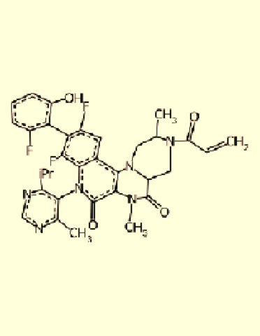 C=CC(=O)N1CC2C(=O)N(C)c3c(c4cc(F)c(-c5c(O)cccc5F)c(F)c4n(-c4c(C)ncnc4C(C)C)c3=O)N2CC1C